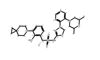 CC1CN(c2cncnc2N2COC(NS(=O)(=O)[C@H](C)c3cccc(N4CCC5(CC4)CC5)c3O)=N2)CC(C)O1